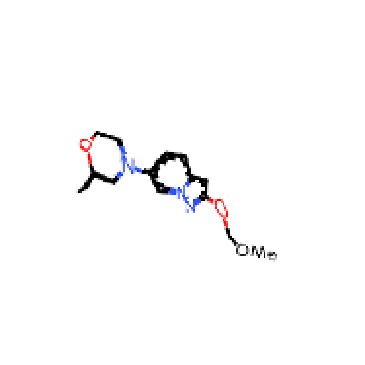 COCOc1cc2ccc(N3CCOC(C)C3)cn2n1